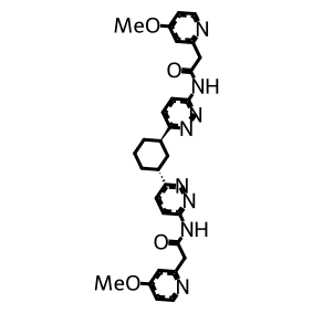 COc1ccnc(CC(=O)Nc2ccc([C@@H]3CCC[C@@H](c4ccc(NC(=O)Cc5cc(OC)ccn5)nn4)C3)nn2)c1